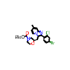 COC(=O)N1CCOC(Cc2c(-c3ccc(Br)cc3Cl)nc3cc(C)ccn23)C1